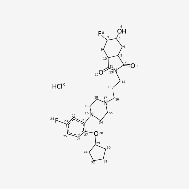 Cl.O=C1C2CC(O)C(F)CC2C(=O)N1CCCN1CCN(c2cc(F)ccc2OC2CCCC2)CC1